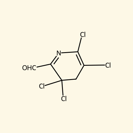 O=CC1=NC(Cl)=C(Cl)CC1(Cl)Cl